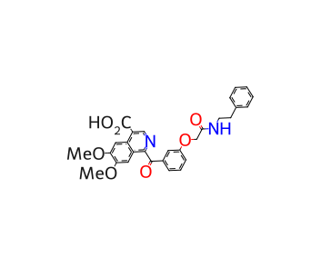 COc1cc2c(C(=O)O)cnc(C(=O)c3cccc(OCC(=O)NCCc4ccccc4)c3)c2cc1OC